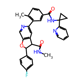 CNC(=O)C1c2cc(-c3cc(C(=O)NC4(c5ccccn5)CC4)ccc3C)ncc2OC1c1ccc(F)cc1